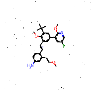 COCCc1cc(N)ccc1/C=C/c1cc(-c2cc(F)cnc2OC)cc(C(C)(C)C)c1OC